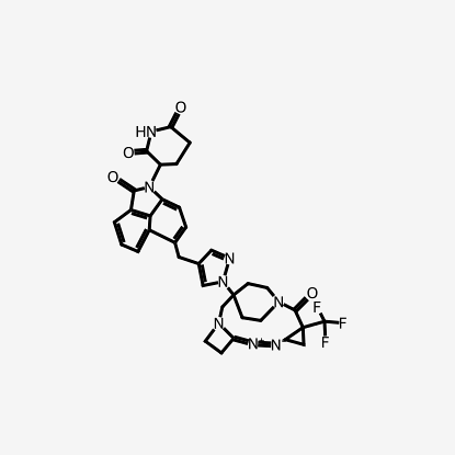 [N-]=[N+]=C1CCN1CC1(n2cc(Cc3ccc4c5c(cccc35)C(=O)N4C3CCC(=O)NC3=O)cn2)CCN(C(=O)C2(C(F)(F)F)CC2)CC1